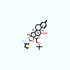 C=C1C=C[C@@]2(C)C(=C1)CC[C@@H]1[C@@H]2[C@@H](O)CC2[C@H]1C[C@H]1O[C@@H](c3sccc3F)O[C@@]21C(=O)COC(C)(C)C